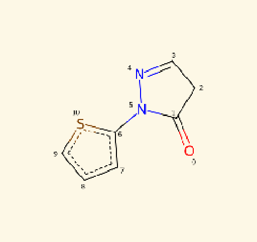 O=C1CC=NN1c1cccs1